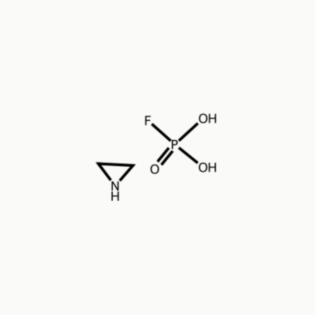 C1CN1.O=P(O)(O)F